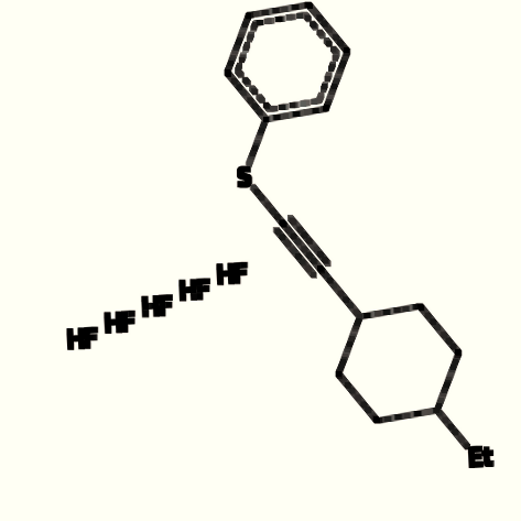 CCC1CCC(C#CSc2ccccc2)CC1.F.F.F.F.F